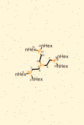 CCCCCCP(CCCCCC)CCP(CCP(CCCCCC)CCCCCC)CCP(CCCCCC)CCCCCC